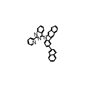 c1ccc(-c2nc(-n3c4ccc(-c5ccc6ccccc6c5)cc4c4cc5ccccc5cc43)c3ccccc3n2)nc1